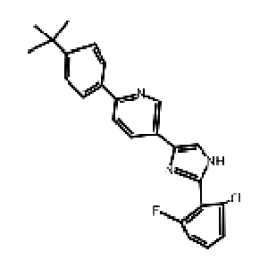 CC(C)(C)c1ccc(-c2ccc(-c3c[nH]c(-c4c(F)cccc4Cl)n3)cn2)cc1